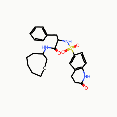 O=C1CCc2cc(S(=O)(=O)NC(Cc3ccccc3)C(=O)NC3CCCCCCC3)ccc2N1